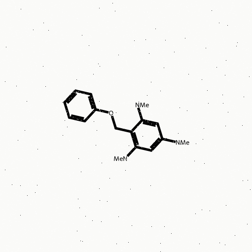 CNc1cc(NC)c(COc2cc[c]cc2)c(NC)c1